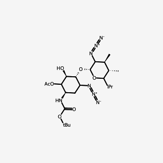 CC(=O)OC1[C@@H](O)[C@H](O[C@H]2OC(C(C)C)[C@@H](C)[C@H](C)C2N=[N+]=[N-])C(N=[N+]=[N-])C[C@H]1NC(=O)OC(C)(C)C